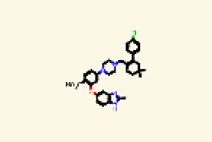 Cc1nc2cc(Oc3cc(N4CCN(CC5=C(c6ccc(Cl)cc6)CC(C)(C)CC5)CC4)ccc3C(=O)O)ccc2[nH]1